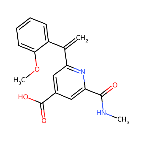 C=C(c1cc(C(=O)O)cc(C(=O)NC)n1)c1ccccc1OC